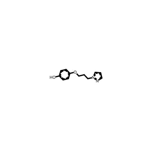 Oc1ccc(OCCCn2cccn2)cc1